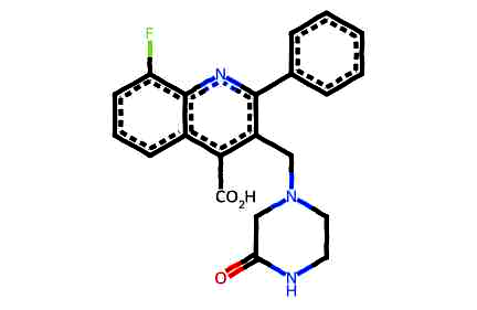 O=C1CN(Cc2c(-c3ccccc3)nc3c(F)cccc3c2C(=O)O)CCN1